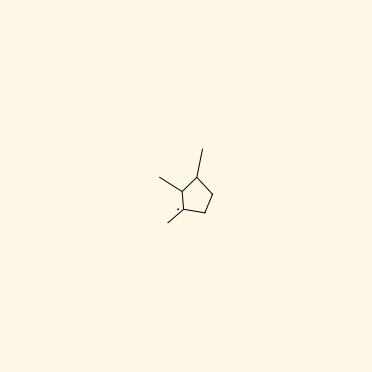 C[C]1CCC(C)C1C